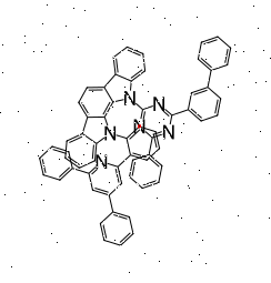 c1ccc(-c2cccc(-c3nc(-c4ccccc4)nc(-n4c5ccccc5c5ccc6c7ccccc7n(-c7ccccc7-c7cc(-c8ccccc8)cc(-c8ccccc8)n7)c6c54)n3)c2)cc1